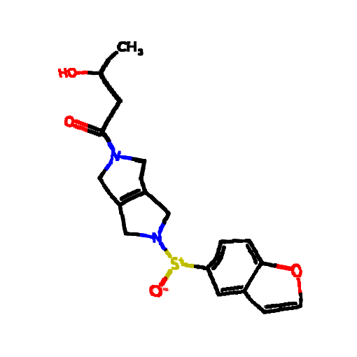 CC(O)CC(=O)N1CC2=C(C1)CN([S+]([O-])c1ccc3occc3c1)C2